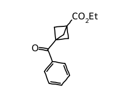 CCOC(=O)C12CC(C(=O)c3ccccc3)(C1)C2